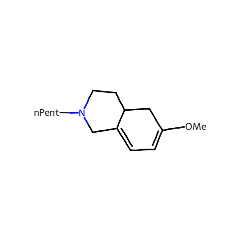 CCCCCN1CCC2CC(OC)=CC=C2C1